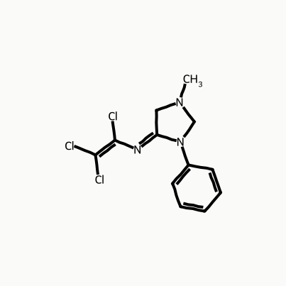 CN1CC(=NC(Cl)=C(Cl)Cl)N(c2ccccc2)C1